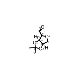 CC1(C)O[C@@H]2COC(C=O)[C@@H]2O1